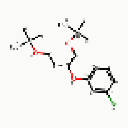 CC(C)(C)[Si](C)(C)OCC[C@H](CO[Si](C)(C)C(C)(C)C)Oc1cccc(Br)c1